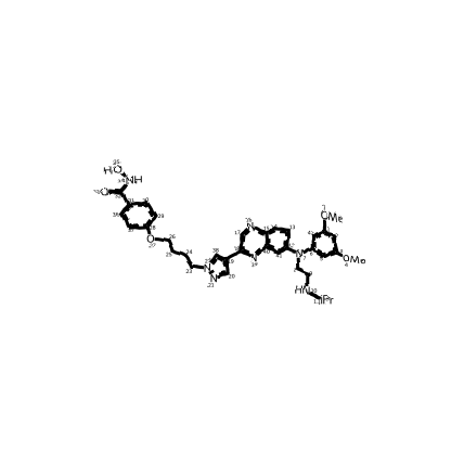 COc1cc(OC)cc(N(CCNC(C)C)c2ccc3ncc(-c4cnn(CCCCOc5ccc(C(=O)NO)cc5)c4)nc3c2)c1